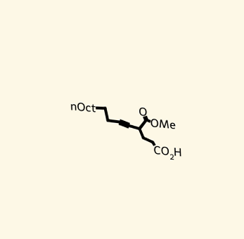 CCCCCCCCCCC#CC(CCC(=O)O)C(=O)OC